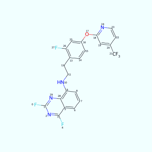 Fc1nc(F)c2cccc(NCCc3ccc(Oc4cc(C(F)(F)F)ccn4)cc3F)c2n1